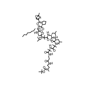 CCCCCCCC[C@H](NC(=O)[C@@H]1CCCN1C(=O)c1coc(C)n1)C(=O)N[C@@H](CC(C)C)C(=O)NC(C)(C)C(=O)N[C@@H](CC(C)C)C(=O)NC(CC(C)C)C(=O)NC(C)(C)C(=O)NC(C)(C)C(=O)NCCC(=O)NCCN(C)C(=O)OC(C)(C)C